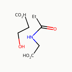 CCC(=O)NCC(=O)O.O=C(O)CCO